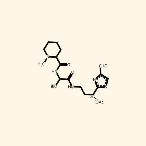 CCC(C)C(NC(=O)C1CCCCN1C)C(=O)NCC[C@@H](OC(C)=O)c1nc(C=O)cs1